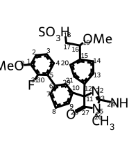 COc1cccc(-c2cccc(C3(c4ccc(C(CS(=O)(=O)O)OC)cc4)N=C(N)N(C)C3=O)c2)c1F